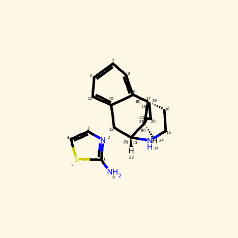 Nc1nccs1.c1ccc2c(c1)C[C@H]1NCC[C@@]23CCCC[C@@H]13